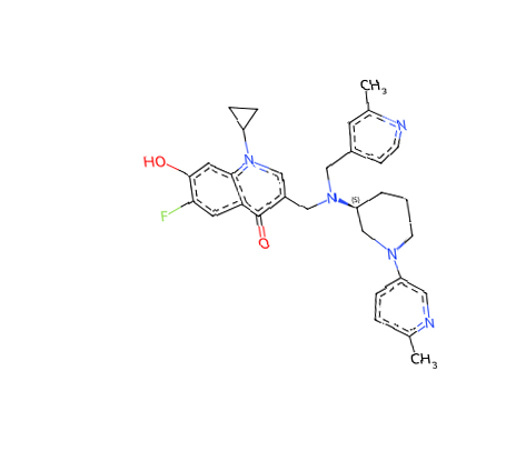 Cc1ccc(N2CCC[C@H](N(Cc3ccnc(C)c3)Cc3cn(C4CC4)c4cc(O)c(F)cc4c3=O)C2)cn1